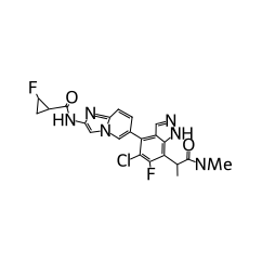 CNC(=O)C(C)c1c(F)c(Cl)c(-c2ccc3nc(NC(=O)C4CC4F)cn3c2)c2cn[nH]c12